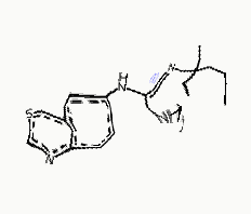 CCC(C)(C)/N=C(\N)Nc1ccc2ncsc2c1